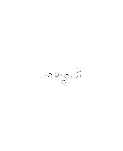 CCC(C)(C)c1ccc(C(C)(C)c2ccc(OC(=O)c3ccc(-c4ccc(C(=O)OC(C)(C)C)cc4)cc3)c(-c3ccccc3)c2)cc1-c1cccc(C)c1